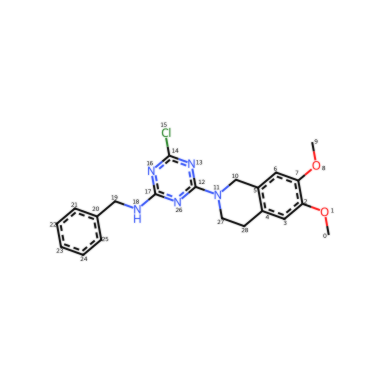 COc1cc2c(cc1OC)CN(c1nc(Cl)nc(NCc3ccccc3)n1)CC2